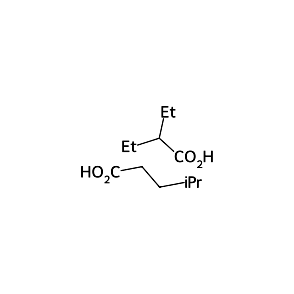 CC(C)CCC(=O)O.CCC(CC)C(=O)O